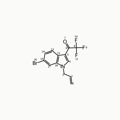 C=CCn1cc(C(=O)C(F)(F)F)c2ccc(Br)cc21